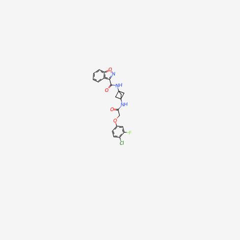 O=C(COc1ccc(Cl)c(F)c1)NC12CC(NC(=O)c3noc4ccccc34)(C1)C2